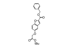 CC(C)(C)OC(=O)COc1ccc2oc(C(=O)OCc3ccccc3)cc2c1